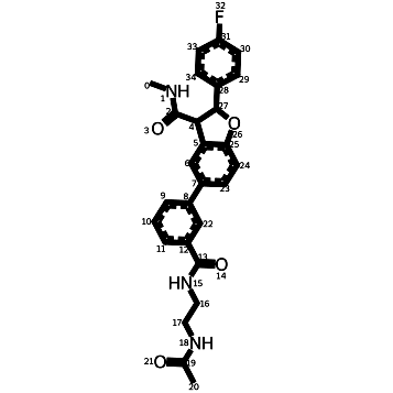 CNC(=O)C1c2cc(-c3cccc(C(=O)NCCNC(C)=O)c3)ccc2OC1c1ccc(F)cc1